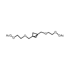 CC(=O)OOCCOCC12CC(COCCOOC(C)=O)(C1)C2